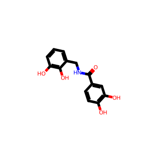 O=C(NCc1cccc(O)c1O)c1ccc(O)c(O)c1